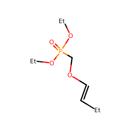 CCC=COCP(=O)(OCC)OCC